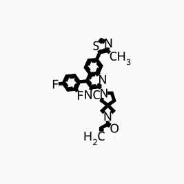 C=CC(=O)N1CC2(CCN(c3nc4cc(-c5scnc5C)ccc4c(-c4ccc(F)cc4F)c3C#N)C2)C1